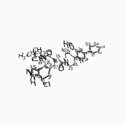 CC(C)(C)CN1Cc2c(cc(Cl)c3[nH]ncc23)C[C@@H](CC(=O)N2CCC(c3ncc(-c4ccccc4)cc3O)CC2)C1=O